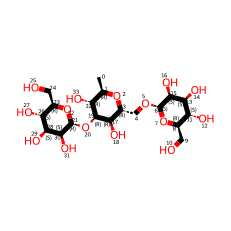 C[C@H]1O[C@H](CO[C@H]2O[C@H](CO)[C@@H](O)[C@H](O)[C@@H]2O)[C@@H](O)[C@H](O[C@H]2O[C@H](CO)[C@@H](O)[C@H](O)[C@@H]2O)[C@@H]1O